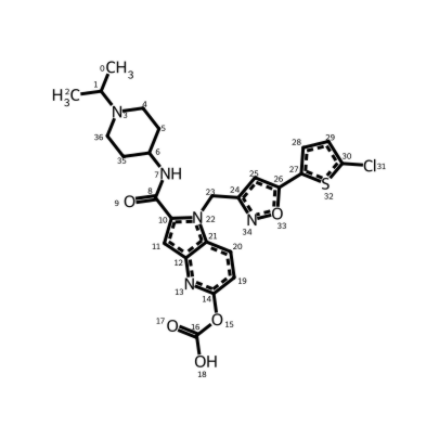 CC(C)N1CCC(NC(=O)c2cc3nc(OC(=O)O)ccc3n2Cc2cc(-c3ccc(Cl)s3)on2)CC1